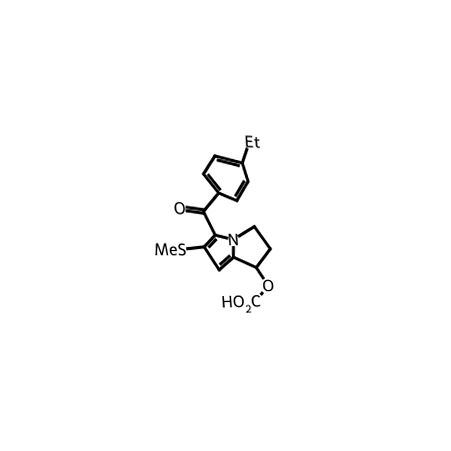 CCc1ccc(C(=O)c2c(SC)cc3n2CCC3OC(=O)O)cc1